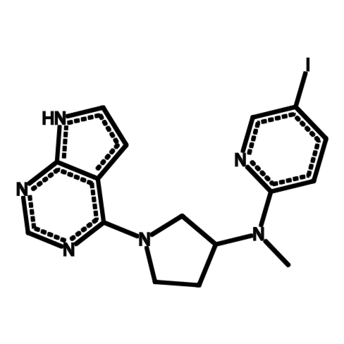 CN(c1ccc(I)cn1)C1CCN(c2ncnc3[nH]ccc23)C1